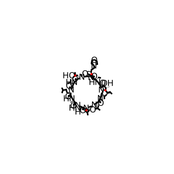 C/C=C/C[C@@H](C)[C@@H](O)[C@H]1C(=O)N[C@@H](CC)C(=O)N(C)[C@H](SCCCN2CCOCC2)C(=O)N(C)[C@@H](CC(C)(C)O)C(=O)N[C@H](C(C)C)C(=O)N(C)[C@H](CCC(C)C)C(=O)N[C@H](C)C(=O)N[C@]2(CN2)C(=O)N(C)[C@@H](CC(C)C)C(=O)N(C)[C@@H](CC(C)C)C(=O)N(C)[C@@H](C(C)C)C(=O)N1C